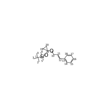 CC(C)(C)[Si](C)(C)OC1(OCC=Cc2ccccc2)CC1